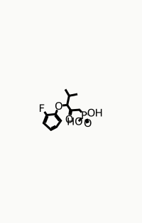 CC(C)C(Oc1ccccc1F)C(=O)CP(=O)(O)O